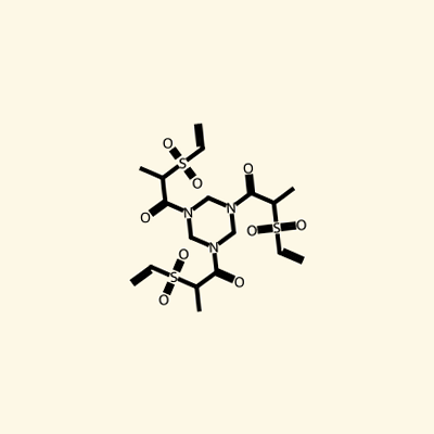 C=CS(=O)(=O)C(C)C(=O)N1CN(C(=O)C(C)S(=O)(=O)C=C)CN(C(=O)C(C)S(=O)(=O)C=C)C1